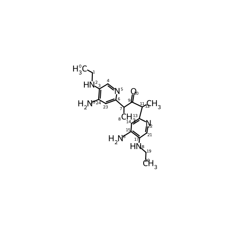 CCNc1cnc(C(C)C(=O)C(C)c2cc(N)c(NCC)cn2)cc1N